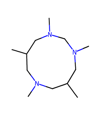 CC1CN(C)CC(C)CN(C)CN(C)C1